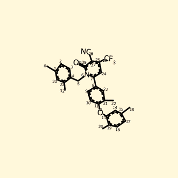 Cc1ccc(Cn2c(-c3ccc(Oc4cc(C)ccc4C)c(C)c3)cc(C(F)(F)F)c(C#N)c2=O)c(C)c1